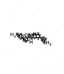 Cc1c(C(=O)Nc2cc3cc(-c4cnn(C)c4)ccc3nn2)ccnc1N1CCN(C)CC1